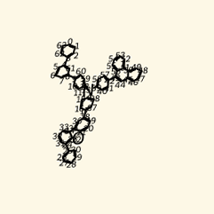 c1ccc(-c2cccc(-c3ccc(N(c4ccc(-c5ccc6oc7c(-c8ccccc8)cccc7c6c5)cc4)c4ccc(-c5cc6ccccc6c6ccccc56)cc4)cc3)c2)cc1